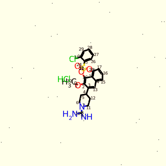 COc1c(C2CCN(C(=N)N)CC2)cc2ccccc2c1OS(=O)(=O)c1ccccc1Cl.Cl